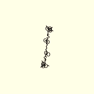 CCO[Si](CCCSCCC(=O)OCCCCCCOC(=O)CCSCCC[Si](OCC)(OCC)OCC)(OCC)OCC